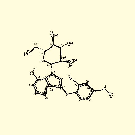 CCOc1ccc(Cn2cc([C@@H]3O[C@H](CO)[C@@H](O)[C@H](O)[C@H]3O)c3c(Cl)cccc32)c(F)c1